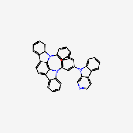 c1ccc(-n2c3ccccc3c3ccc4c5ccccc5n(-c5cccc(-n6c7ccccc7c7ccncc76)c5)c4c32)cc1